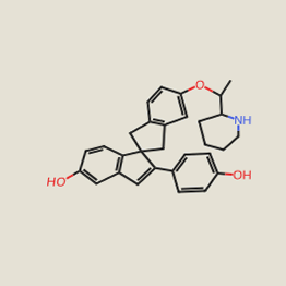 CC(Oc1ccc2c(c1)CC1(C2)C(c2ccc(O)cc2)=Cc2cc(O)ccc21)C1CCCCN1